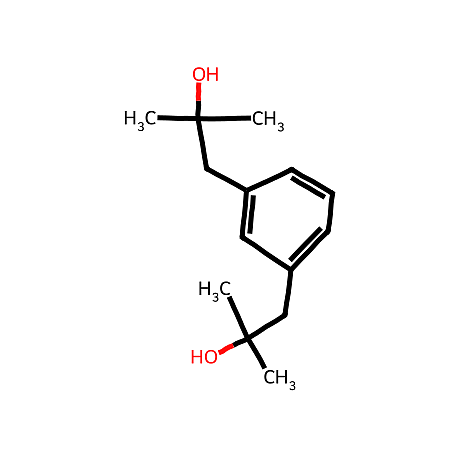 CC(C)(O)Cc1cccc(CC(C)(C)O)c1